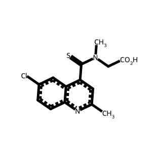 Cc1cc(C(=S)N(C)CC(=O)O)c2cc(Cl)ccc2n1